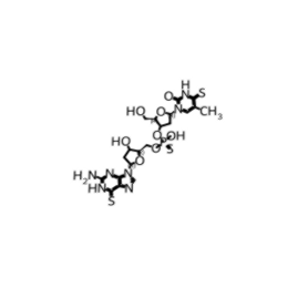 Cc1cn([C@H]2CC(OP(O)(=S)OC[C@H]3O[C@@H](n4cnc5c(=S)[nH]c(N)nc54)CC3O)[C@@H](CO)O2)c(=O)[nH]c1=S